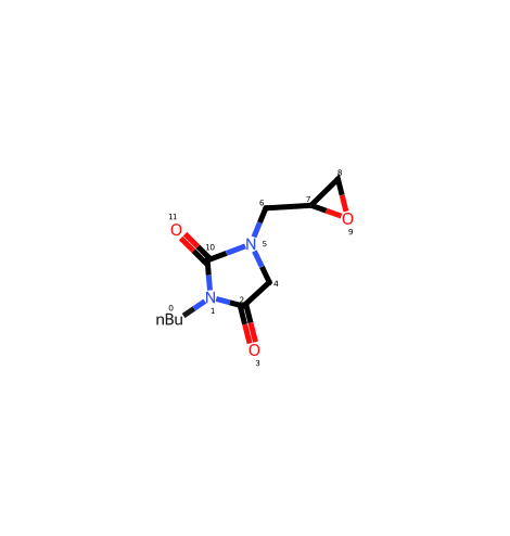 CCCCN1C(=O)CN(CC2CO2)C1=O